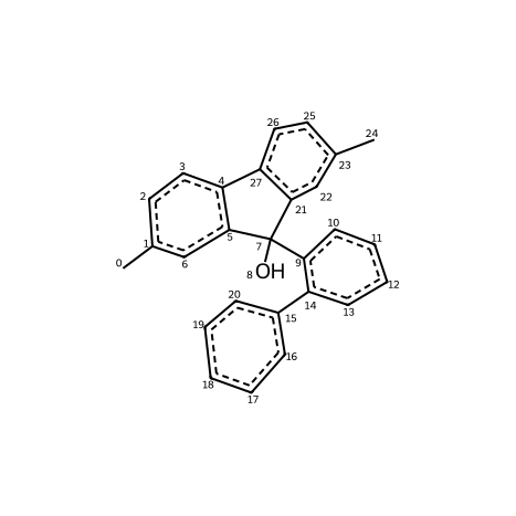 Cc1ccc2c(c1)C(O)(c1ccccc1-c1ccccc1)c1cc(C)ccc1-2